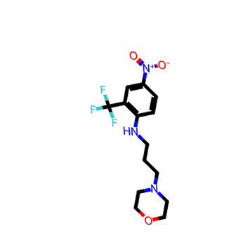 O=[N+]([O-])c1ccc(NCCCN2CCOCC2)c(C(F)(F)F)c1